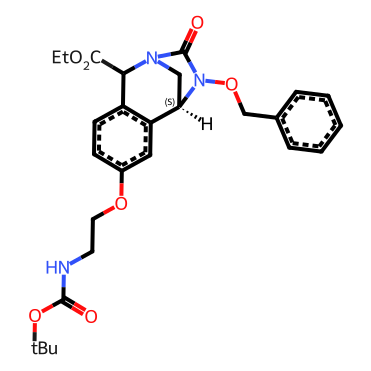 CCOC(=O)C1c2ccc(OCCNC(=O)OC(C)(C)C)cc2[C@H]2CN1C(=O)N2OCc1ccccc1